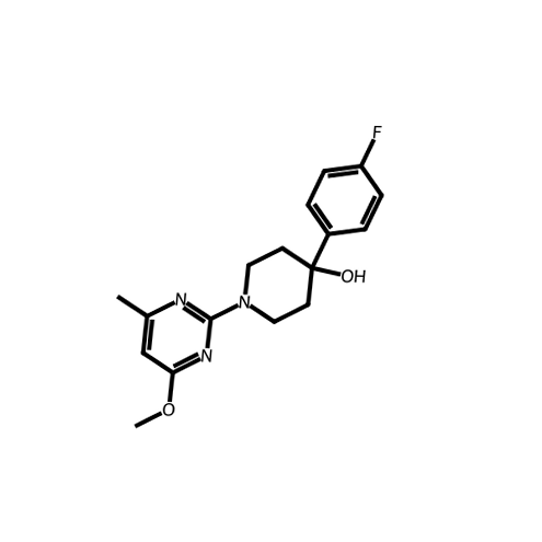 COc1cc(C)nc(N2CCC(O)(c3ccc(F)cc3)CC2)n1